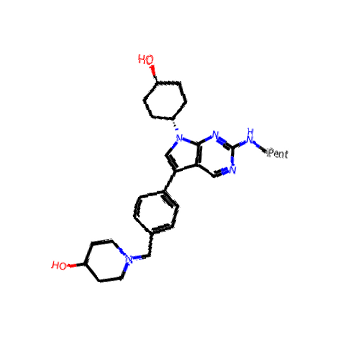 CCCC(C)Nc1ncc2c(-c3ccc(CN4CCC(O)CC4)cc3)cn([C@H]3CC[C@H](O)CC3)c2n1